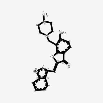 COc1ccc2c(c1CN1CCN(C)CC1)O/C(=C\c1n[nH]c3ccccc13)C2=O